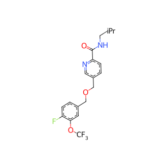 CC(C)CNC(=O)c1ccc(COCc2ccc(F)c(OC(F)(F)F)c2)cn1